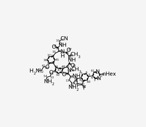 CCCCCCc1ncc(-c2ccc(C(=O)NC(CCN)C(=O)N(C)C3C(=O)NC(C)C(=O)NC(C(=O)NCC#N)Cc4ccc(OCCN)c(c4)-c4cc3ccc4OCCN)c(C(F)F)c2)cn1